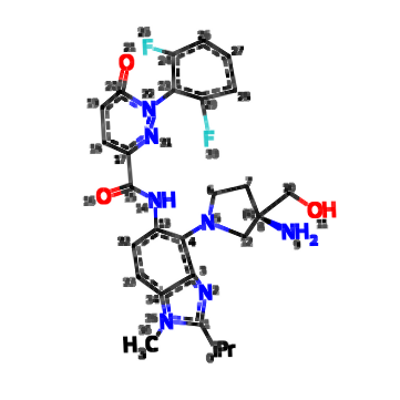 CC(C)c1nc2c(N3CC[C@](N)(CO)C3)c(NC(=O)c3ccc(=O)n(-c4c(F)cccc4F)n3)ccc2n1C